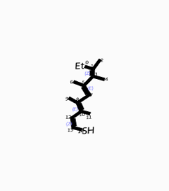 CC\C(C)=C(C)/C(C)=C/C(C)=C(C)/C=C\S